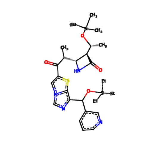 CC[Si](CC)(CC)OC(c1cccnc1)c1ncn2cc(C(=O)C(C)[C@H]3NC(=O)[C@@H]3[C@@H](C)O[Si](C)(C)C(C)(C)C)sc12